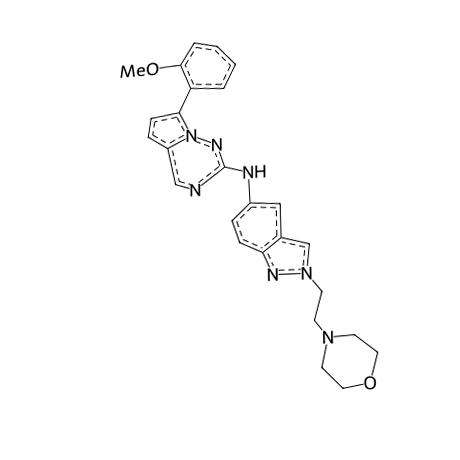 COc1ccccc1-c1ccc2cnc(Nc3ccc4nn(CCN5CCOCC5)cc4c3)nn12